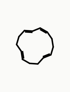 [C]1=C/CC/C=C/C=C\CC/C=C/CC/1